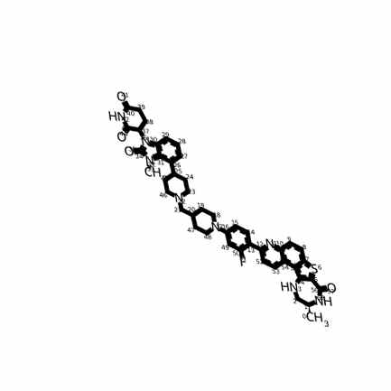 C[C@@H]1CNc2c(sc3ccc4nc(-c5ccc(N6CCC(CN7CCC(c8cccc9c8n(C)c(=O)n9C8CCC(=O)NC8=O)CC7)CC6)cc5F)ccc4c23)C(=O)N1